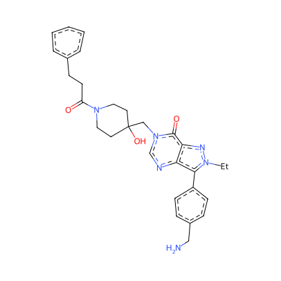 CCn1nc2c(=O)n(CC3(O)CCN(C(=O)CCc4ccccc4)CC3)cnc2c1-c1ccc(CN)cc1